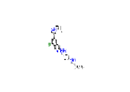 COCCNC1CCC(CNc2cc3cc(-c4cnn(C)c4)cc(F)c3cn2)CC1